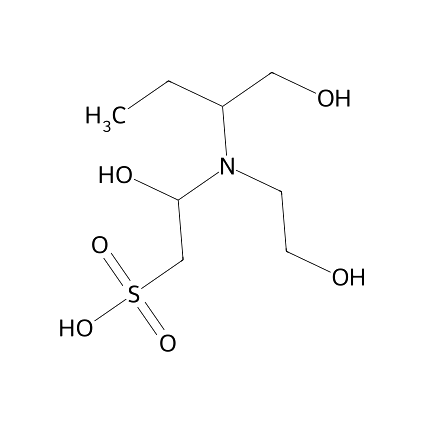 CCC(CO)N(CCO)C(O)CS(=O)(=O)O